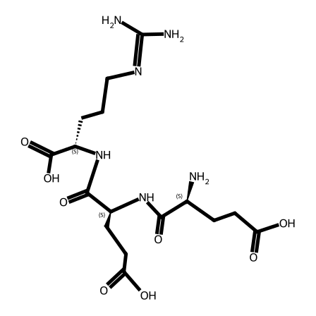 NC(N)=NCCC[C@H](NC(=O)[C@H](CCC(=O)O)NC(=O)[C@@H](N)CCC(=O)O)C(=O)O